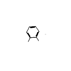 Oc1ccccc1O.[Ge]